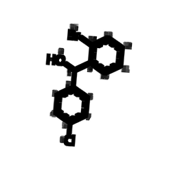 OC(c1ccc(Cl)cc1)c1ccccc1Br